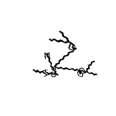 C=C(CCN(CCCCN(C)C)C(CCCCCCCCC(=C)OCC(CCCC)CCCCCC)CCCCCCCCC(=O)OCC(CCCC)CCCCCC)OCCSSCCCCC